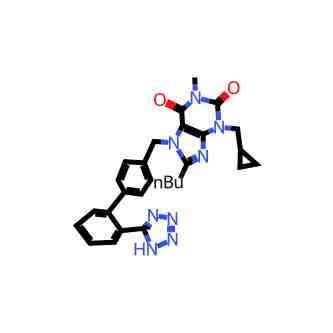 CCCCc1nc2c(c(=O)n(C)c(=O)n2CC2CC2)n1Cc1ccc(-c2ccccc2-c2nnn[nH]2)cc1